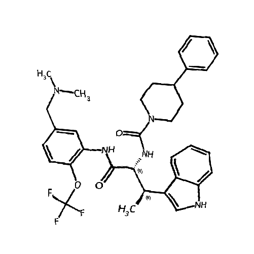 C[C@H](c1c[nH]c2ccccc12)[C@@H](NC(=O)N1CCC(c2ccccc2)CC1)C(=O)Nc1cc(CN(C)C)ccc1OC(F)(F)F